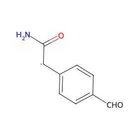 NC(=O)[CH]c1ccc(C=O)cc1